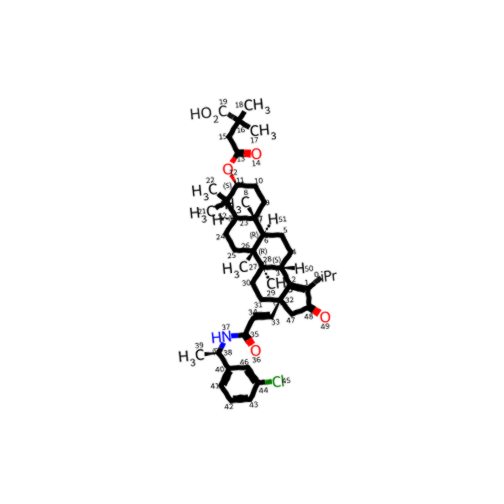 CC(C)C1=C2[C@H]3CC[C@@H]4[C@@]5(C)CC[C@H](OC(=O)CC(C)(C)C(=O)O)C(C)(C)[C@@H]5CC[C@@]4(C)[C@]3(C)CC[C@@]2(C=CC(=O)N[C@H](C)c2cccc(Cl)c2)CC1=O